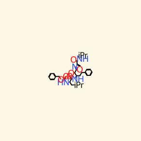 CC(C)CC(NC(=O)OCc1ccccc1)C(=O)NC(CCc1ccccc1)C(=O)c1nc(C(=O)NC(C)C)co1